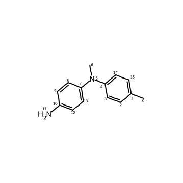 Cc1ccc(N(C)c2ccc(N)cc2)cc1